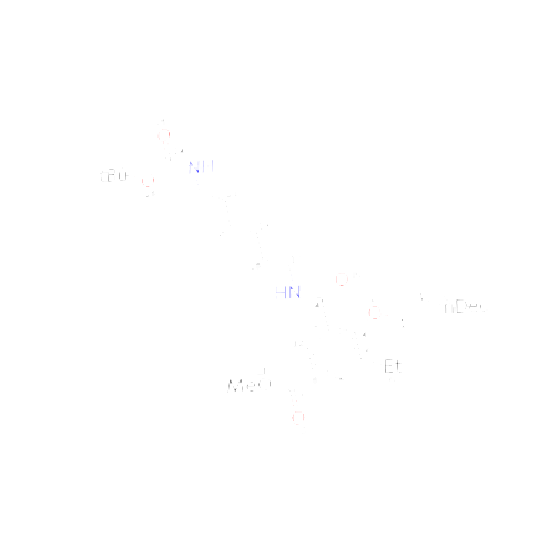 CCCCCCCCCCCCOc1c(CC)cc(C(=O)OC)cc1C(=O)NCCCCCCNC(=O)OC(C)(C)C